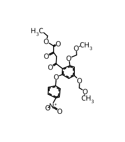 CCOC(=O)C(=O)CC(=O)c1c(OCOC)cc(OCOC)cc1Oc1ccc([N+](=O)[O-])cc1